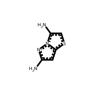 Nc1cc2scc(N)n2n1